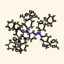 CC(C)(C)c1ccc(N(c2ccc3c(c2)N(c2ccc(C(C)(C)C)cc2-c2ccccc2)c2cc(-c4ccccc4)cc4c2B3c2cccc3c2C4C2(C)CCCCC32C)c2ccc3sc4ccccc4c3c2)cc1